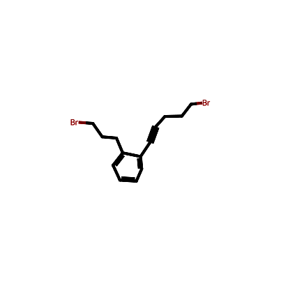 BrCCCC#Cc1ccccc1CCCBr